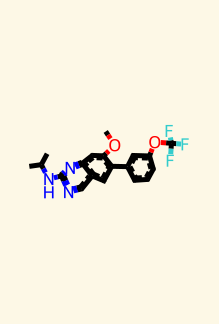 COc1cc2nc(NC(C)C)ncc2cc1-c1cccc(OC(F)(F)F)c1